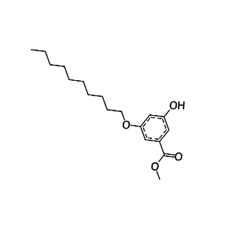 CCCCCCCCCCOc1cc(O)cc(C(=O)OC)c1